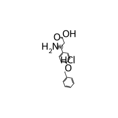 Cl.N[C@@H](CC(=O)O)c1ccc(OCc2ccccc2)cc1